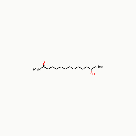 CCCCCCC(O)CCCCCCCCCCC(=O)NC